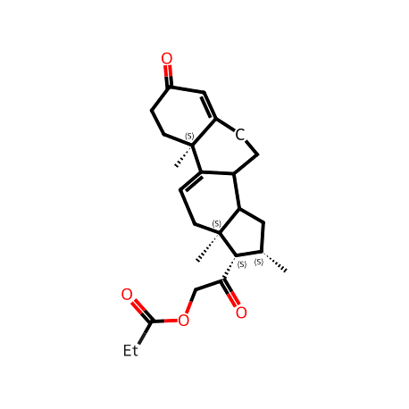 CCC(=O)OCC(=O)[C@H]1[C@@H](C)CC2C3CCC4=CC(=O)CC[C@]4(C)C3=CC[C@@]21C